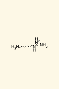 NCCCCCCNC(N)CN